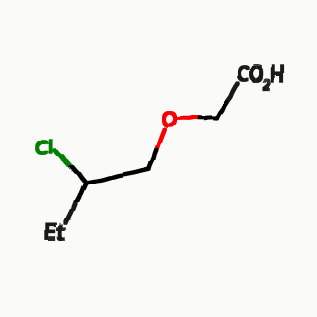 CCC(Cl)COCC(=O)O